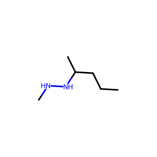 CCCC(C)NNC